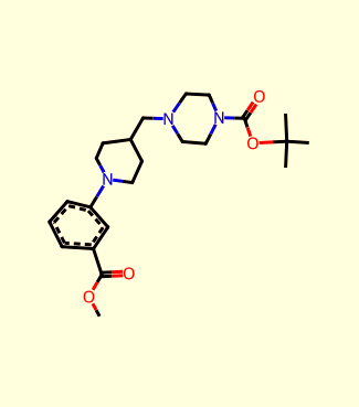 COC(=O)c1cccc(N2CCC(CN3CCN(C(=O)OC(C)(C)C)CC3)CC2)c1